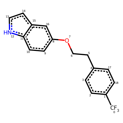 FC(F)(F)c1ccc(CCOc2ccc3[nH]ccc3c2)cc1